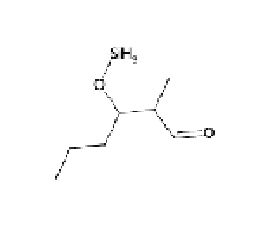 CCCC(O[SiH3])C(C)C=O